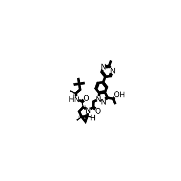 Cc1ncc(-c2ccc3c(c2)c(C(C)O)nn3CC(=O)N2[C@H](C(=O)N[C@@H](C)CC(C)(C)C)C[C@@]3(C)C[C@@H]23)cn1